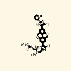 CCCN(Cc1nc(Cl)c(-c2cc3c4c(c2)OCc2cc(-c5[nH]c([C@@H]6CCCN6C)nc5Cl)cc(c2-4)OC3)[nH]1)C(=O)CNC(=O)OC